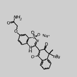 CCCCC1(C)C(=O)C(C2=NS(=O)(=O)c3cc(OCC(N)=O)ccc3N2)=C([O-])c2ccccc21.[Na+]